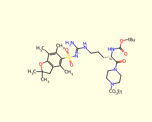 CCOC(=O)N1CCN(C(=O)[C@H](CCCN/C(N)=N/S(=O)(=O)c2c(C)c(C)c3c(c2C)CC(C)(C)O3)NC(=O)OC(C)(C)C)CC1